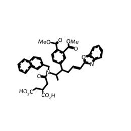 COC(=O)c1ccc(C(C/C=C/c2nc3ccccc3o2)C(C)N(Cc2ccc3ccccc3c2)C(=O)C[C@H](CC(=O)O)C(=O)O)cc1C(=O)OC